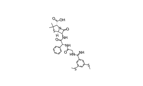 CSc1cc(SC)cc(C(=N)NCC(=O)NC(C(=O)N[C@@H]2C(=O)N3[C@@H]2SC(C)(C)[C@@H]3C(=O)O)c2ccccc2)c1